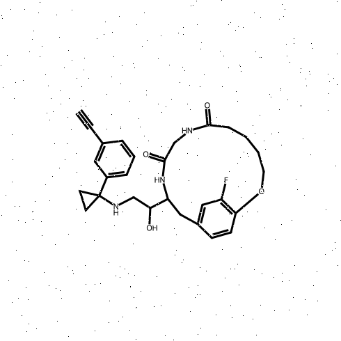 C#Cc1cccc(C2(NCC(O)C3Cc4ccc(c(F)c4)OCCCCC(=O)NCC(=O)N3)CC2)c1